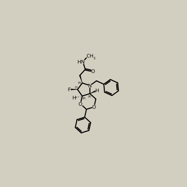 CNC(=O)C[C@@H]1[C@H](F)[C@@H]2OC(c3ccccc3)OC[C@H]2N1Cc1ccccc1